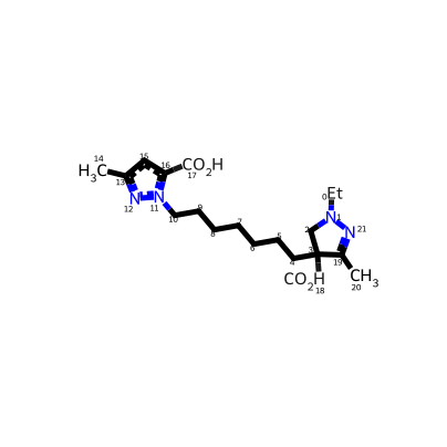 CCN1CC(CCCCCCCn2nc(C)cc2C(=O)O)(C(=O)O)C(C)=N1